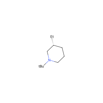 CC[C@@H]1CCCN(C(C)(C)C)C1